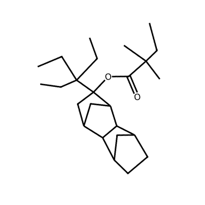 CCC(C)(C)C(=O)OC1(C(CC)(CC)CC)CC2CC1C1C3CCC(C3)C21